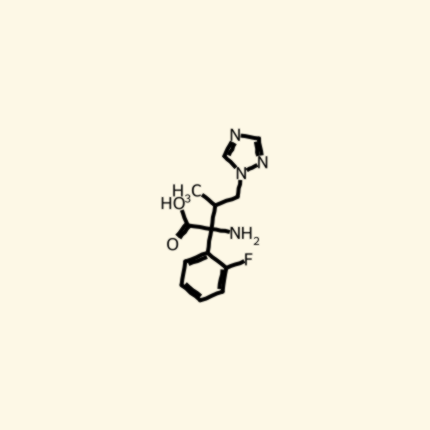 CC(Cn1cncn1)C(N)(C(=O)O)c1ccccc1F